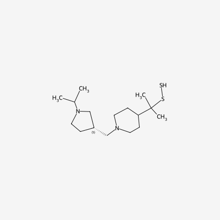 CC(C)N1CC[C@@H](CN2CCC(C(C)(C)SS)CC2)C1